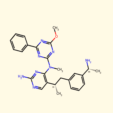 COc1nc(-c2ccccc2)nc(N(C)c2nc(N)ncc2[C@@H](C)Cc2cccc([C@@H](C)N)c2)n1